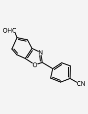 N#Cc1ccc(-c2nc3cc(C=O)ccc3o2)cc1